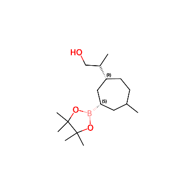 CC1CC[C@@H](C(C)CO)C[C@@H](B2OC(C)(C)C(C)(C)O2)C1